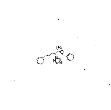 CC(C)(C)C(OCc1ccccc1)C(CCCc1ccccc1)n1cncn1